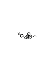 CCCCOC(=O)N1CC2CC2(c2ccc(C(C)(C)C)cc2)C1